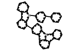 c1ccc(-c2ccc(-n3c4ccccc4c4cccc(-c5ccc6c(c5)c5cccc7c8ccccc8n6c75)c43)cc2)cc1